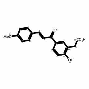 COc1ccc(/C=C/C(=O)c2ccc(O)c(CC(=O)O)c2)cc1